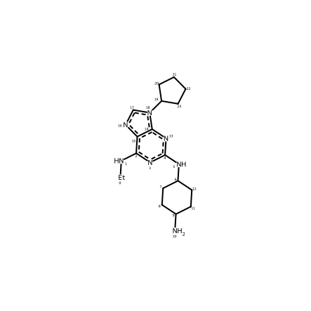 CCNc1nc(NC2CCC(N)CC2)nc2c1ncn2C1CCCC1